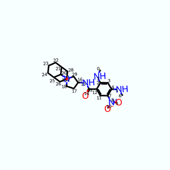 CNc1cc(NC)c([N+](=O)[O-])cc1C(=O)NC1CCN(C2C3CCCC2CCC3)C1